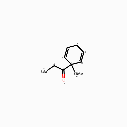 COC1(C(=O)CC(C)(C)C)C=CCC=C1